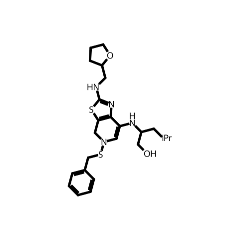 CC(C)CC(CO)NC1=CN(SCc2ccccc2)Cc2sc(NCC3CCCO3)nc21